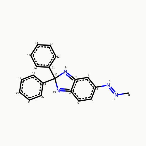 CN=Nc1ccc2c(c1)=NC(c1ccccc1)(c1ccccc1)N=2